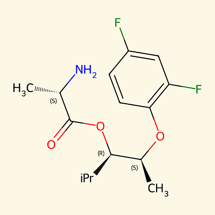 CC(C)[C@@H](OC(=O)[C@H](C)N)[C@H](C)Oc1ccc(F)cc1F